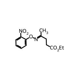 CCOC(=O)CC/C(C)=N/Oc1ccccc1[N+](=O)[O-]